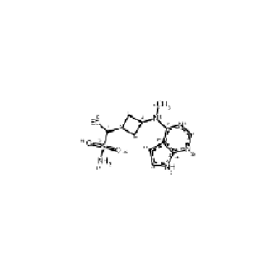 CCC([C@H]1C[C@@H](N(C)c2ncnc3[nH]ccc23)C1)S(N)(=O)=O